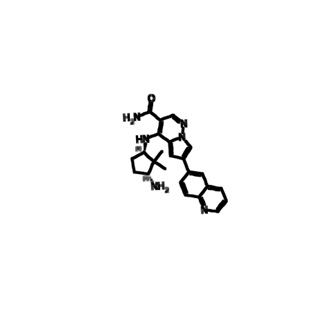 CC1(C)[C@H](N)CC[C@H]1Nc1c(C(N)=O)cnn2cc(-c3ccc4ncccc4c3)cc12